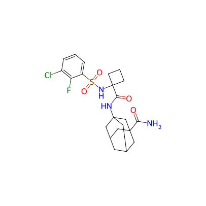 NC(=O)C12CC3CC(CC(NC(=O)C4(NS(=O)(=O)c5cccc(Cl)c5F)CCC4)(C3)C1)C2